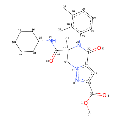 COC(=O)c1cc2n(n1)CC(C)(C(=O)NC1CCCCC1)N(c1cccc(C)c1C)C2=O